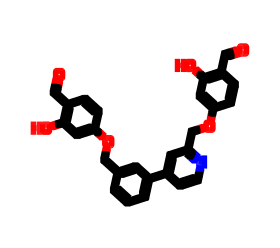 O=Cc1ccc(OCc2cccc(-c3ccnc(COc4ccc(C=O)c(O)c4)c3)c2)cc1O